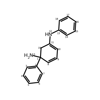 NC1(c2ccccc2)C=CC=C(Nc2ccccc2)C1